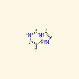 Cc1cncn2c[c]nc12